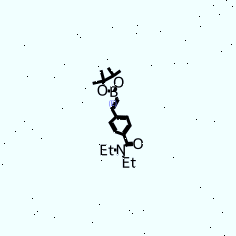 CCN(CC)C(=O)c1ccc(/C=C/B2OC(C)(C)C(C)(C)O2)cc1